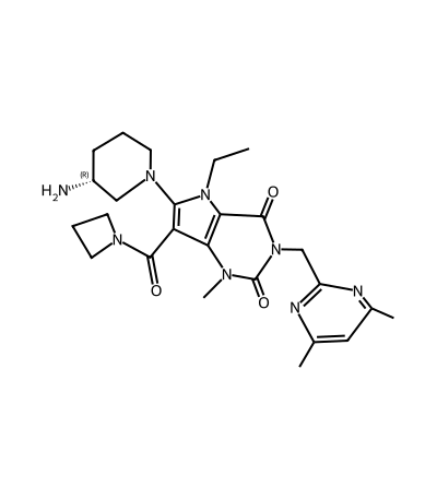 CCn1c(N2CCC[C@@H](N)C2)c(C(=O)N2CCC2)c2c1c(=O)n(Cc1nc(C)cc(C)n1)c(=O)n2C